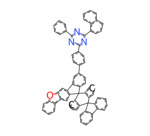 c1ccc(-c2nc(-c3ccc(-c4ccc5c(c4)-c4cc6oc7ccccc7c6cc4C54c5ccccc5C5(c6ccccc6-c6ccccc65)c5ccccc54)cc3)nc(-c3cccc4ccccc34)n2)cc1